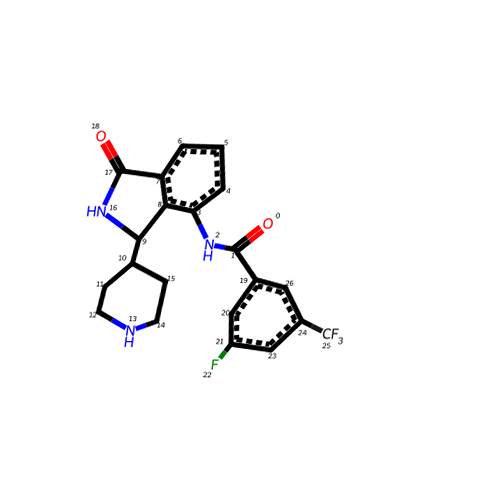 O=C(Nc1cccc2c1C(C1CCNCC1)NC2=O)c1cc(F)cc(C(F)(F)F)c1